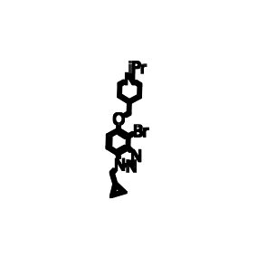 CC(C)N1CCC(COc2ccc3c(nnn3CC3CC3)c2Br)CC1